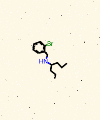 CCCC(CCC)NCc1ccccc1Br